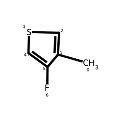 Cc1cs[c]c1F